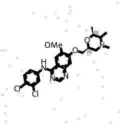 COc1cc2c(Nc3ccc(Cl)c(Cl)c3)ncnc2cc1OC[C@@H]1CN(C)C(C)[C@H](C)O1